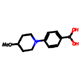 COC1CCN(c2ccc(B(O)O)cc2)CC1